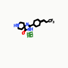 Cl.Cl.O=C1NC(C2CCC(=CCC(F)(F)F)CC2)=NC12CCNCC2